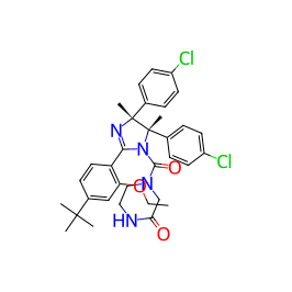 CCOc1cc(C(C)(C)C)ccc1C1=N[C@](C)(c2ccc(Cl)cc2)[C@](C)(c2ccc(Cl)cc2)N1C(=O)N1CCNC(=O)C1